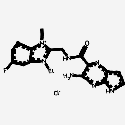 CCn1c(CNC(=O)c2nc3cc[nH]c3nc2N)[n+](C)c2ccc(F)cc21.[Cl-]